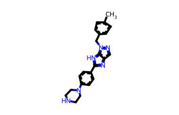 Cc1ccc(Cn2ncc3nc(-c4ccc(N5CCNCC5)cc4)[nH]c32)cc1